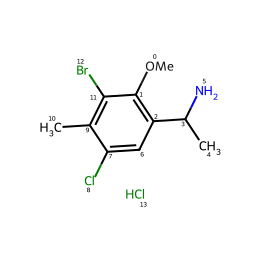 COc1c(C(C)N)cc(Cl)c(C)c1Br.Cl